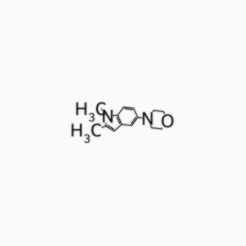 Cc1cc2cc(N3CCOCC3)ccc2n1C